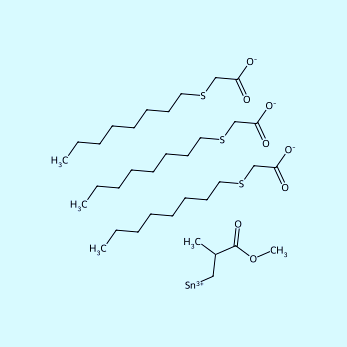 CCCCCCCCSCC(=O)[O-].CCCCCCCCSCC(=O)[O-].CCCCCCCCSCC(=O)[O-].COC(=O)C(C)[CH2][Sn+3]